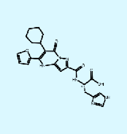 O=C(N[C@@H](Cc1c[nH]cn1)C(=O)O)c1cc2[nH]c(-c3ccco3)c(C3CCCCC3)c(=O)n2n1